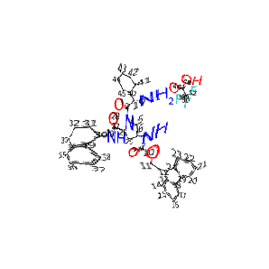 N[C@H](C(=O)N1C[C@@H](NC(=O)OCC2c3ccccc3-c3ccccc32)C[C@H]1C(=O)N[C@@H]1CCCc2ccccc21)C1CCCCC1.O=C(O)C(F)(F)F